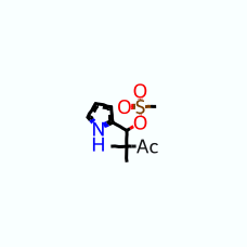 CC(=O)C(C)(C)C(OS(C)(=O)=O)c1ccc[nH]1